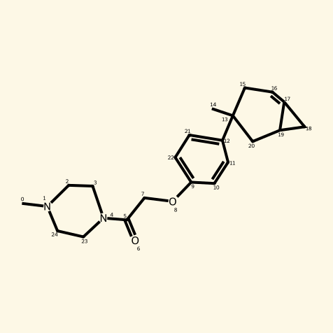 CN1CCN(C(=O)COc2ccc(C3(C)CC=C4CC4C3)cc2)CC1